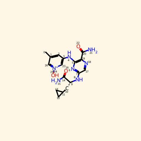 Cc1cc(Nc2nc(N[C@H](CC3CC3)C(N)=O)cnc2C(N)=O)c[n+](O)c1